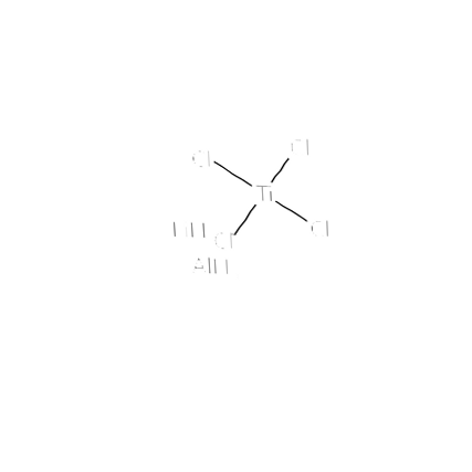 [AlH3].[Cl][Ti]([Cl])([Cl])[Cl].[LiH]